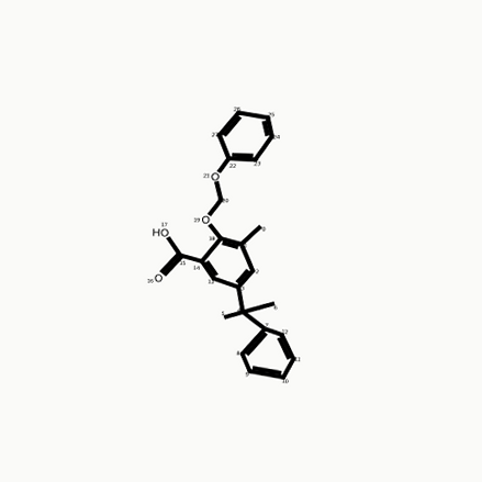 Cc1cc(C(C)(C)c2ccccc2)cc(C(=O)O)c1OCOc1ccccc1